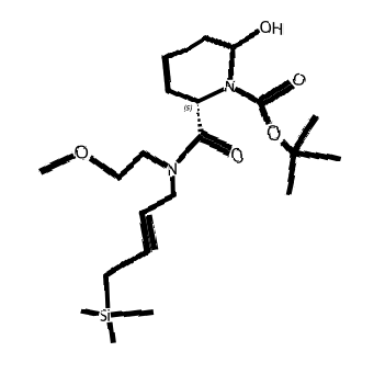 COCCN(CC=CC[Si](C)(C)C)C(=O)[C@@H]1CCCC(O)N1C(=O)OC(C)(C)C